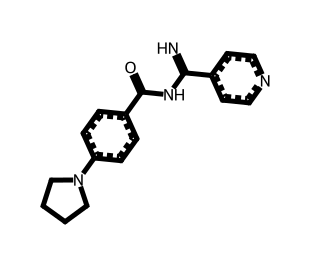 N=C(NC(=O)c1ccc(N2CCCC2)cc1)c1ccncc1